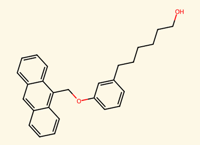 OCCCCCCc1cccc(OCc2c3ccccc3cc3ccccc23)c1